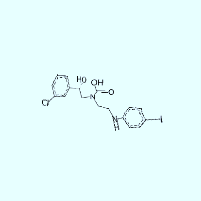 O=C(O)N(CCNc1ccc(I)cc1)C[C@@H](O)c1cccc(Cl)c1